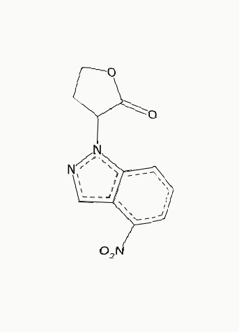 O=C1OCCC1n1ncc2c([N+](=O)[O-])cccc21